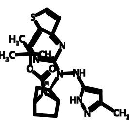 Cc1cc(NN(c2ncc3sccc3n2)[C@@H]2CC3CCC2N3C(=O)OC(C)(C)C)[nH]n1